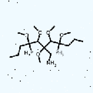 CCCC(P)(OC)C(OC)C(CN)(OC)C(OC)C(P)(CCC)OC